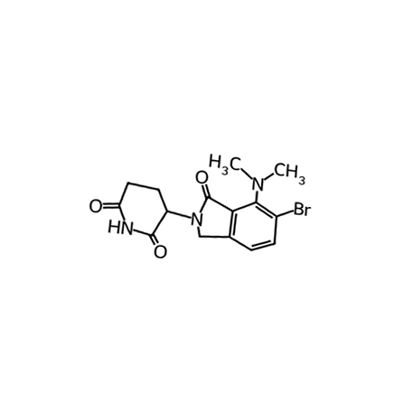 CN(C)c1c(Br)ccc2c1C(=O)N(C1CCC(=O)NC1=O)C2